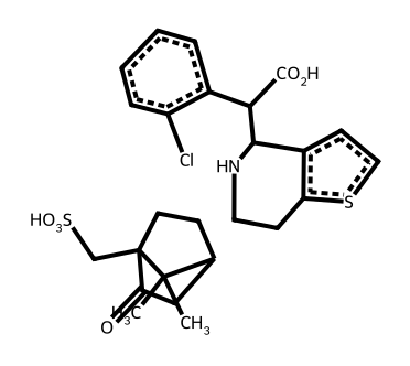 CC1(C)C2CCC1(CS(=O)(=O)O)C(=O)C2.O=C(O)C(c1ccccc1Cl)C1NCCc2sccc21